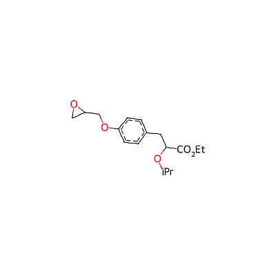 CCOC(=O)C(Cc1ccc(OCC2CO2)cc1)OC(C)C